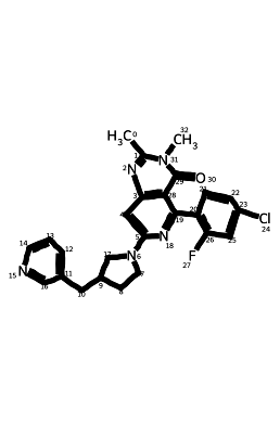 Cc1nc2cc(N3CCC(Cc4cccnc4)C3)nc(-c3ccc(Cl)cc3F)c2c(=O)n1C